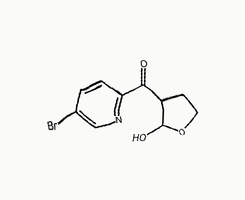 O=C(c1ccc(Br)cn1)C1CCOC1O